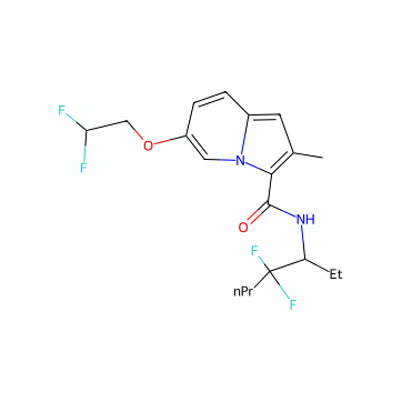 CCCC(F)(F)C(CC)NC(=O)c1c(C)cc2ccc(OCC(F)F)cn12